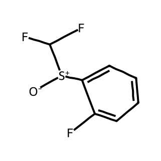 [O-][S+](c1ccccc1F)C(F)F